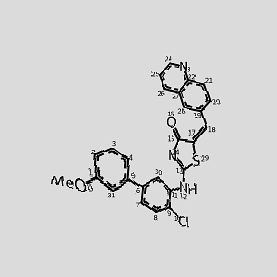 COc1cccc(-c2ccc(Cl)c(NC3=NC(=O)C(=Cc4ccc5ncccc5c4)S3)c2)c1